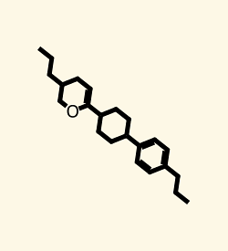 CCCc1ccc(C2CCC(C3=CCC(CCC)CO3)CC2)cc1